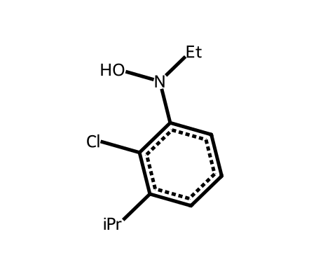 CCN(O)c1cccc(C(C)C)c1Cl